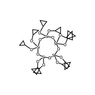 C1CC1O[Si]1(OC2CC2)O[Si](OC2CC2)(OC2CC2)O[Si](OC2CC2)(OC2CC2)O[Si](OC2CC2)(OC2CC2)O[Si](OC2CC2)(OC2CC2)O1